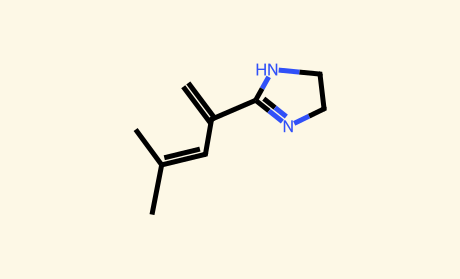 C=C(C=C(C)C)C1=NCCN1